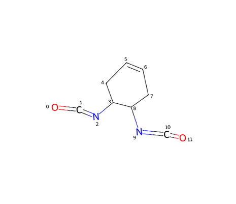 O=C=NC1CC=CCC1N=C=O